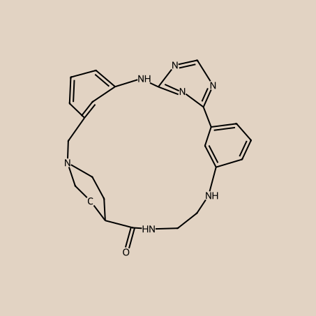 O=C1NCCNc2cccc(c2)-c2ncnc(n2)Nc2cccc(c2)CN2CCC1CC2